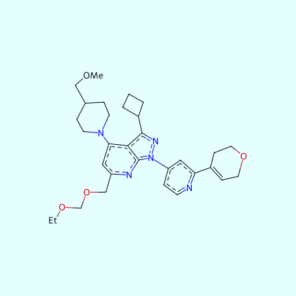 CCOCOCc1cc(N2CCC(COC)CC2)c2c(C3CCC3)nn(-c3ccnc(C4=CCOCC4)c3)c2n1